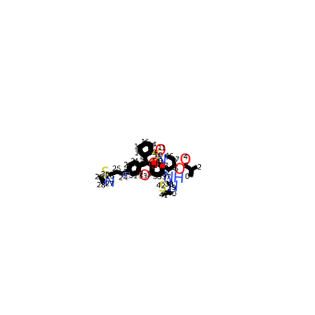 C=C(C)C(=O)OC1CCN(S(=O)(=O)c2ccccc2C2=c3cc/c(=C\Cc4nccs4)cc3Oc3cc(Nc4nccs4)ccc32)CC1